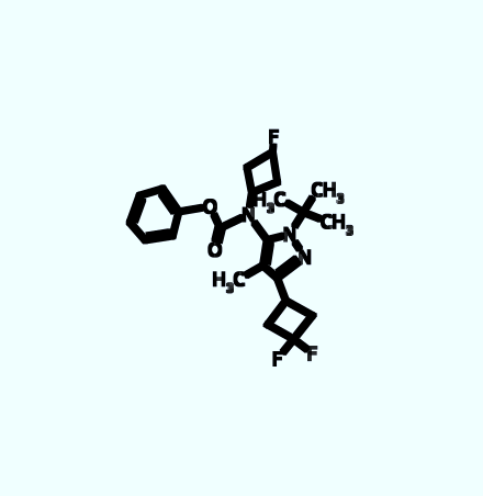 Cc1c(C2CC(F)(F)C2)nn(C(C)(C)C)c1N(C(=O)Oc1ccccc1)C1CC(F)C1